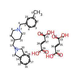 Cc1cccc(CN2CCC(CN3Cc4ccccc4C3)CC2)c1.O=C(O)/C=C/C(=O)O.O=C(O)/C=C/C(=O)O